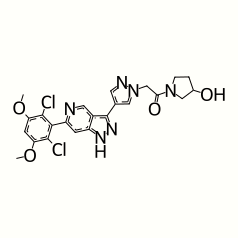 COc1cc(OC)c(Cl)c(-c2cc3[nH]nc(-c4cnn(CC(=O)N5CCC(O)C5)c4)c3cn2)c1Cl